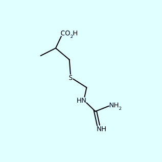 CC(CSCNC(=N)N)C(=O)O